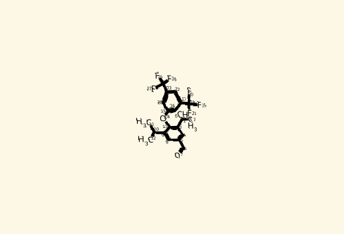 CC(C)c1cc(C=O)cc(C(C)C)c1Oc1cc(C(F)(F)F)cc(C(F)(F)F)c1